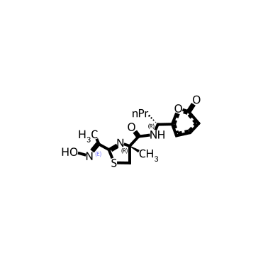 CCC[C@@H](NC(=O)[C@]1(C)CSC(/C(C)=N/O)=N1)c1cccc(=O)o1